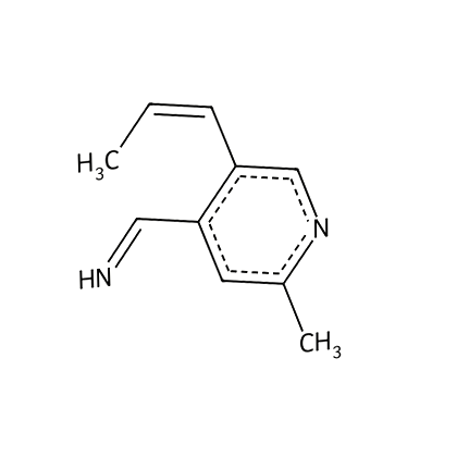 C/C=C\c1cnc(C)cc1C=N